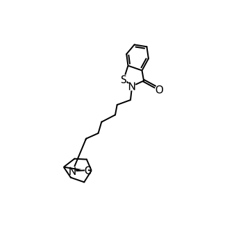 O=c1c2ccccc2sn1CCCCCCN1CC2CCC(CC2)C1